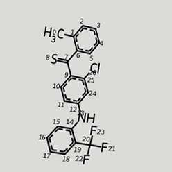 Cc1ccccc1C(=S)c1ccc(Nc2ccccc2C(F)(F)F)cc1Cl